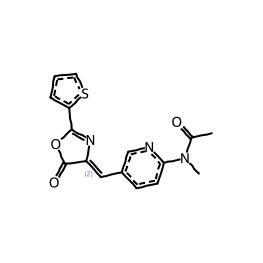 CC(=O)N(C)c1ccc(/C=C2\N=C(c3cccs3)OC2=O)cn1